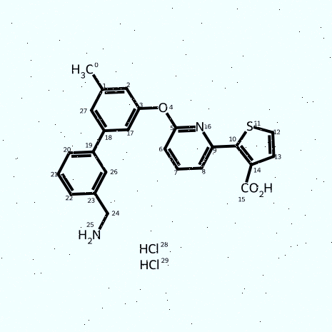 Cc1cc(Oc2cccc(-c3sccc3C(=O)O)n2)cc(-c2cccc(CN)c2)c1.Cl.Cl